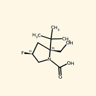 CC(C)(C)[C@@]1(CO)C[C@H](F)CN1C(=O)O